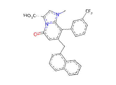 Cn1cc(C(=O)O)n2c(=O)cc(Cc3cccc4ccccc34)c(-c3cccc(C(F)(F)F)c3)c12